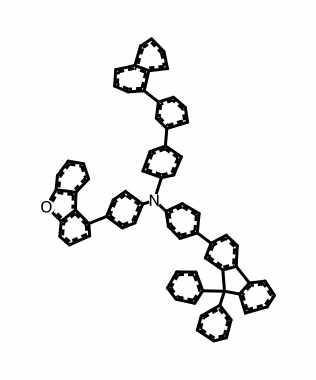 c1ccc(C2(c3ccccc3)c3ccccc3-c3ccc(-c4ccc(N(c5ccc(-c6cccc(-c7cccc8ccccc78)c6)cc5)c5ccc(-c6cccc7oc8ccccc8c67)cc5)cc4)cc32)cc1